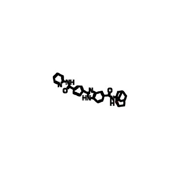 O=C(Nc1ccccn1)c1ccc(-c2nc3cc(C(=O)NC45CC6CC(CC(C6)C4)C5)ccc3[nH]2)cc1